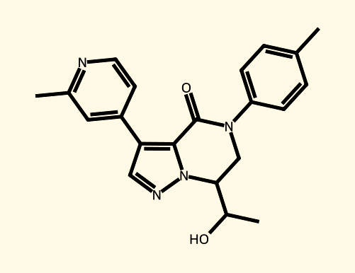 Cc1ccc(N2CC(C(C)O)n3ncc(-c4ccnc(C)c4)c3C2=O)cc1